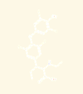 CCNC(C(=O)O)C(CC)c1cc(I)c(Oc2cc(I)c(O)c(I)c2)c(I)c1